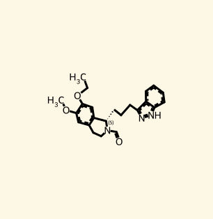 CCOc1cc2c(cc1OC)CCN(C=O)[C@H]2CCCc1n[nH]c2ccccc12